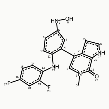 Cn1cc(-c2cc(NO)ccc2Nc2ccc(F)cc2F)c2cc[nH]c2c1=O